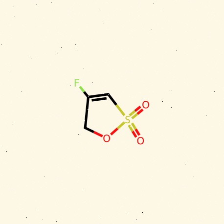 O=S1(=O)C=C(F)CO1